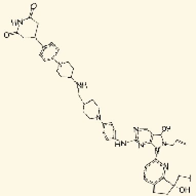 C=CCN1C(O)c2cnc(Nc3ccc(N4CCC(CNC5CCN(c6ccc(C7CC(=O)NC(=O)C7)cc6)CC5)CC4)cc3)nc2N1c1ccc2c(n1)[C@@](O)(CI)CC2